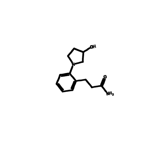 NC(=O)CCc1ccccc1N1CCC(O)C1